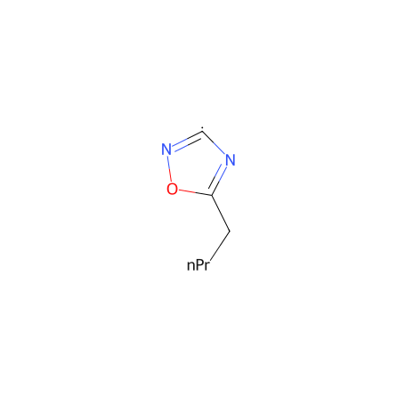 CCCCc1n[c]no1